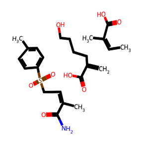 C=C(CCCCO)C(=O)O.CC(=CCS(=O)(=O)c1ccc(C)cc1)C(N)=O.CC=C(C)C(=O)O